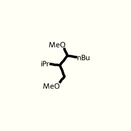 CCCCC(OC)C(COC)C(C)C